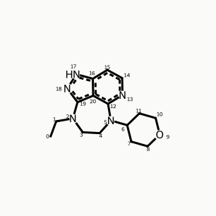 CCN1CCN(C2CCOCC2)c2nccc3[nH]nc1c23